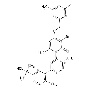 Cc1cc(F)nc(COc2cc(C)n(C3=CC(c4nc(C(C)(C)O)ccc4C)=NC[C@H]3C)c(=O)c2Br)c1